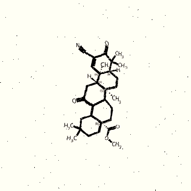 COC(=O)[C@@]12CCC3C(C(=O)C[C@@H]4[C@@]5(C)C=C(C#N)C(=O)C(C)(C)[C@@H]5CC[C@@]34C)C1CC(C)(C)CC2